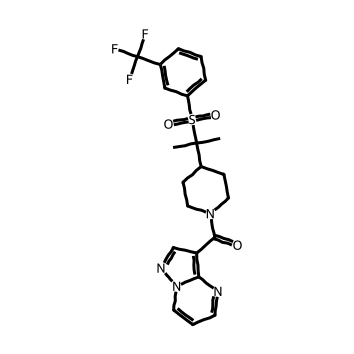 CC(C)(C1CCN(C(=O)c2cnn3cccnc23)CC1)S(=O)(=O)c1cccc(C(F)(F)F)c1